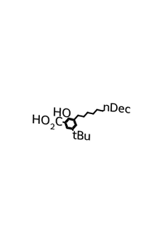 CCCCCCCCCCCCCCCCc1cc(C(C)(C)C)cc(C(=O)O)c1O